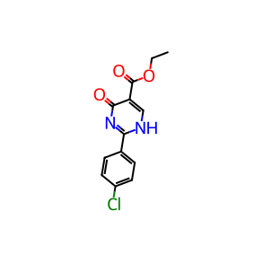 CCOC(=O)c1c[nH]c(-c2ccc(Cl)cc2)nc1=O